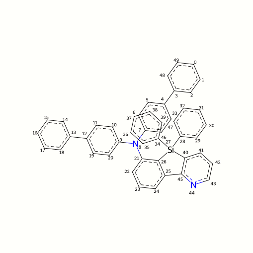 c1ccc(-c2ccc(N(c3ccc(-c4ccccc4)cc3)c3cccc4c3[Si](c3ccccc3)(c3ccccc3)c3cccnc3-4)cc2)cc1